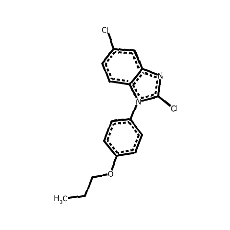 CCCOc1ccc(-n2c(Cl)nc3cc(Cl)ccc32)cc1